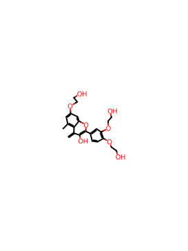 C=C1C(O)=C(c2ccc(OCCO)c(OCCO)c2)Oc2cc(OCCO)cc(C)c21